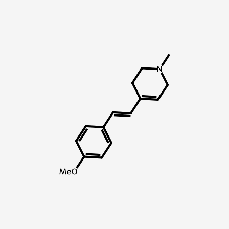 COc1ccc(C=CC2=CCN(C)CC2)cc1